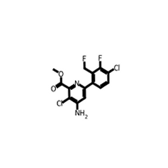 COC(=O)c1nc(-c2ccc(Cl)c(F)c2CF)cc(N)c1Cl